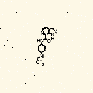 O=C(NC1CCC(NCC(F)(F)F)CC1)c1nccc2cn[nH]c12